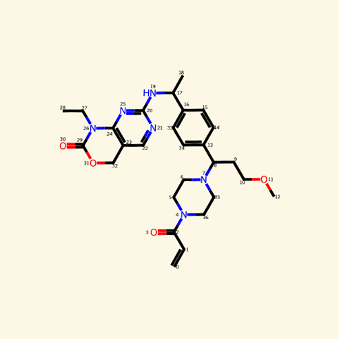 C=CC(=O)N1CCN(C(CCOC)c2ccc(C(C)Nc3ncc4c(n3)N(CC)C(=O)OC4)cc2)CC1